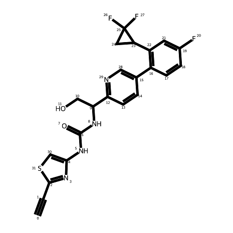 C#Cc1nc(NC(=O)NC(CO)c2ccc(-c3ccc(F)cc3C3CC3(F)F)cn2)cs1